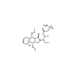 C=C(CC(C)C(CC)N1CC2C(C1=O)C(OCC)C1CC=CC[C@@H]1C2OCC)CC1(N)CC1